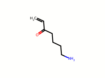 C=CC(=O)CCCCN